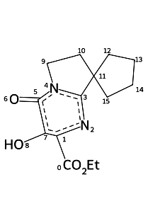 CCOC(=O)c1nc2n(c(=O)c1O)CCC21CCCC1